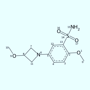 COc1ccc(N2CC(OC)C2)cc1S(N)(=O)=O